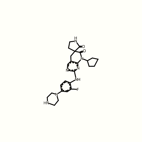 O=C1NCCC12Cc1cnc(Nc3ccc(N4CCNCC4)cc3F)nc1N(C1CCCC1)C2=O